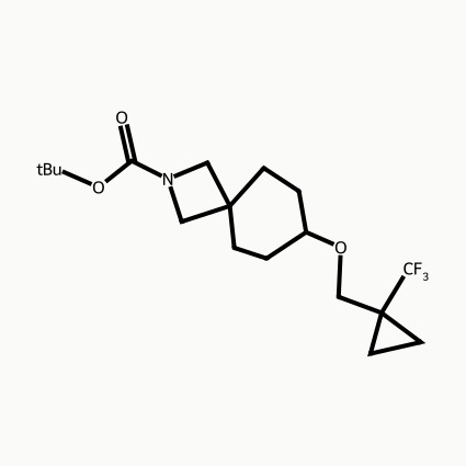 CC(C)(C)OC(=O)N1CC2(CCC(OCC3(C(F)(F)F)CC3)CC2)C1